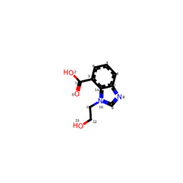 O=C(O)c1cccc2ncn(CCO)c12